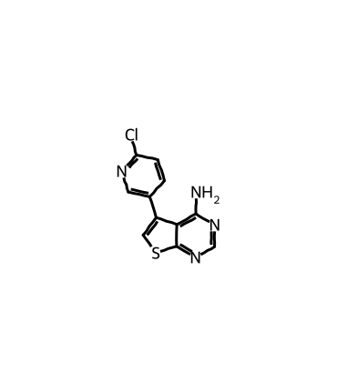 Nc1ncnc2scc(-c3ccc(Cl)nc3)c12